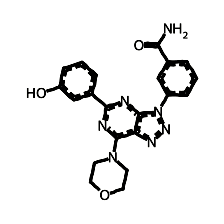 NC(=O)c1cccc(-n2nnc3c(N4CCOCC4)nc(-c4cccc(O)c4)nc32)c1